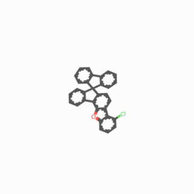 Clc1cccc2oc3c4c(ccc3c12)C1(c2ccccc2-c2ccccc21)c1ccccc1-4